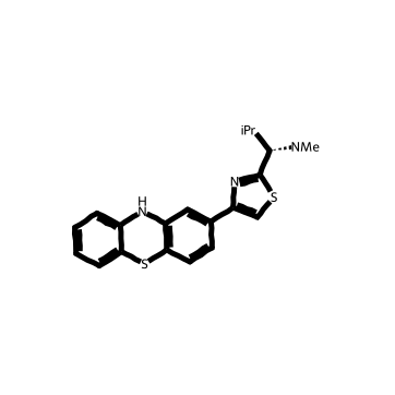 CN[C@H](c1nc(-c2ccc3c(c2)Nc2ccccc2S3)cs1)C(C)C